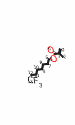 C=C(C)C(=O)OCCCCCCCC(F)(F)F